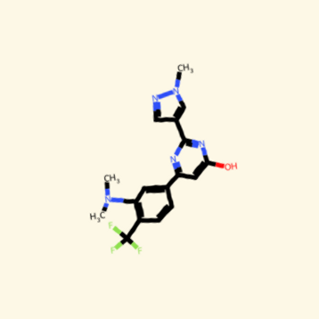 CN(C)c1cc(-c2cc(O)nc(-c3cnn(C)c3)n2)ccc1C(F)(F)F